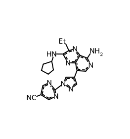 CCc1nc2c(N)ncc(-c3cnn(-c4ncc(C#N)cn4)c3)c2nc1NC1CCCC1